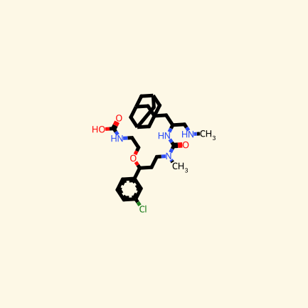 CNCC(CC12CC3CC(CC(C3)C1)C2)NC(=O)N(C)CCC(OCCNC(=O)O)c1cccc(Cl)c1